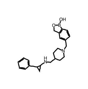 OB1OCc2cc(CN3CCC(CNC4CC4c4ccccc4)CC3)ccc21